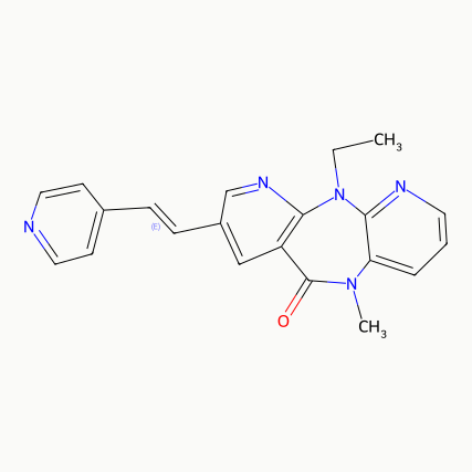 CCN1c2ncc(/C=C/c3ccncc3)cc2C(=O)N(C)c2cccnc21